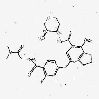 COc1c(C(=O)N[C@H]2CCOC[C@@H]2O)cc(Cc2ccc(C(=O)NCC(=O)N(C)C)c(F)c2)c2c1CCC2